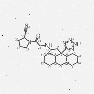 C[C@H](CC1(c2nn[nH]n2)C2CCCCC2CC2CCCCC21)NCC(=O)N1CCCC1C#N